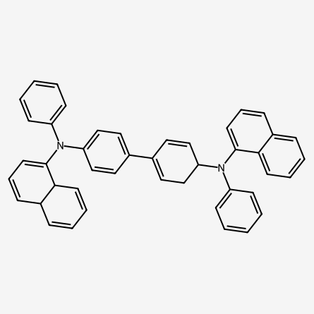 C1=CC2C=CC=C(N(c3ccccc3)c3ccc(C4=CCC(N(c5ccccc5)c5cccc6ccccc56)C=C4)cc3)C2C=C1